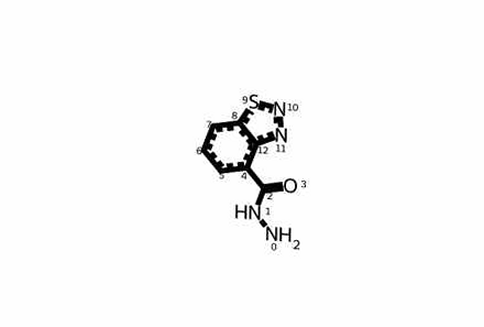 NNC(=O)c1cccc2snnc12